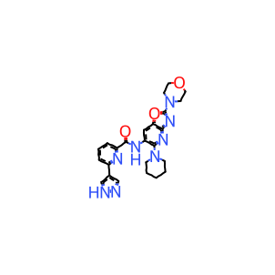 O=C(Nc1cc2oc(N3CCOCC3)nc2nc1N1CCCCC1)c1cccc(-c2cn[nH]c2)n1